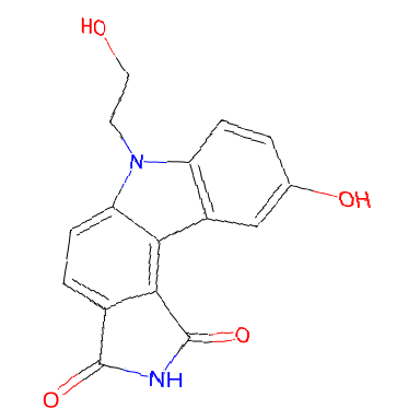 O=C1NC(=O)c2c1ccc1c2c2cc(O)ccc2n1CCO